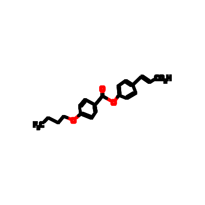 O=C(O)C=Cc1ccc(OC(=O)c2ccc(OCCCC(F)(F)F)cc2)cc1